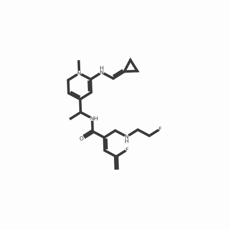 C=C(F)/C=C(\CNCCF)C(=O)NC(C)C1=CCN(C)C(NC=C2CC2)=C1